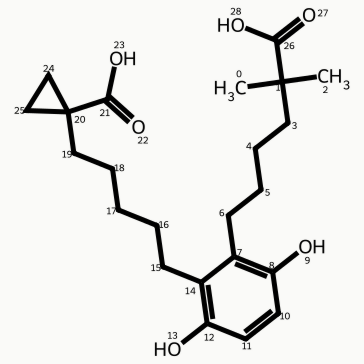 CC(C)(CCCCc1c(O)ccc(O)c1CCCCCC1(C(=O)O)CC1)C(=O)O